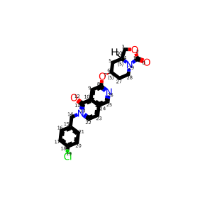 O=C1OC[C@@H]2C[C@@H](Oc3cc4c(=O)n(Cc5ccc(Cl)cc5)ccc4cn3)CCN12